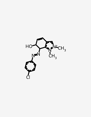 Cn1c2c(c[n+]1C)C=CC(O)C2N=Nc1ccc(Cl)cc1